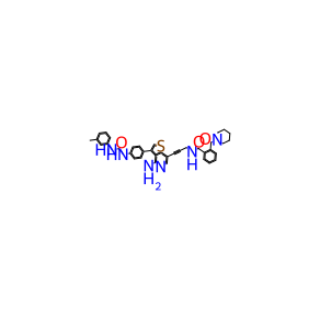 Cc1cccc(NC(=O)Nc2ccc(-c3csc4c(C#CCNC(=O)c5ccccc5C(=O)N5CCCCC5)cnc(N)c34)cc2)c1